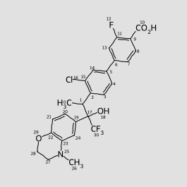 CC(c1ccc(-c2ccc(C(=O)O)c(F)c2)cc1Cl)C(O)(c1ccc2c(c1)N(C)CCO2)C(F)(F)F